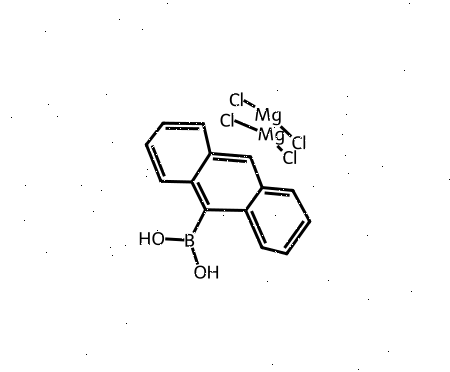 OB(O)c1c2ccccc2cc2ccccc12.[Cl][Mg][Cl].[Cl][Mg][Cl]